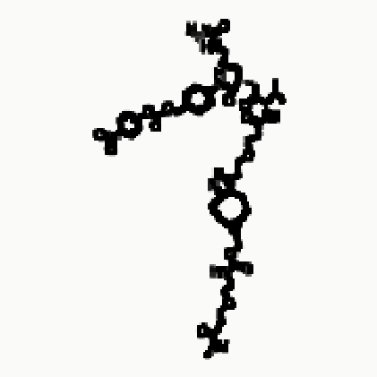 CNC(=O)CCOCCNC(=O)OCC1C2CCc3nnn(CCOCCC(=O)N[C@H](C(=O)C[C@@H](CCCNC(N)=O)C(=O)Nc4ccc(COC(=O)Oc5ccc([N+](=O)[O-])cc5)cc4)C(C)C)c3CCC21